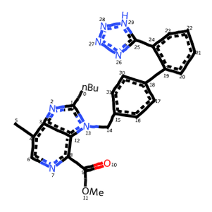 CCCCc1nc2c(C)cnc(C(=O)OC)c2n1Cc1ccc(-c2ccccc2-c2nnn[nH]2)cc1